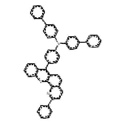 c1ccc(-c2ccc(N(c3ccc(-c4ccccc4)cc3)c3ccc(-c4c5ccccc5nc5c4ccc4ccc(-c6ccccc6)nc45)cc3)cc2)cc1